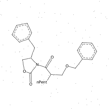 CCCCCC(COCc1ccccc1)C(=O)N1C(=O)OCC1Cc1ccccc1